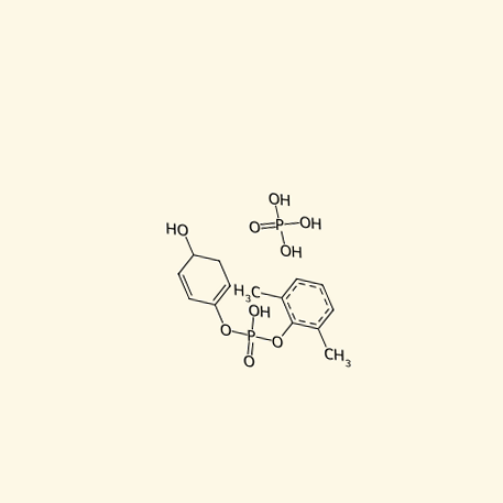 Cc1cccc(C)c1OP(=O)(O)OC1=CCC(O)C=C1.O=P(O)(O)O